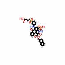 O=C(O)CCCS(=O)(=O)c1cccc(Nc2cc(S(=O)(=O)O)c3[nH]c(=O)c(C(=O)OCc4ccc5ccccc5c4)c4c3c2C(=O)c2ccccc2-4)c1